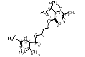 CC(=O)NC(C(=O)OCCCOC(=O)C(NC(C)=O)C(C)C)C(C)C